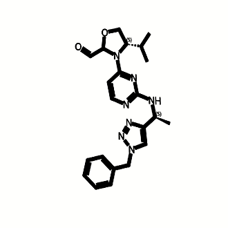 CC(C)[C@H]1COC(C=O)N1c1ccnc(N[C@@H](C)c2cn(Cc3ccccc3)nn2)n1